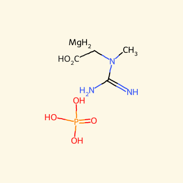 CN(CC(=O)O)C(=N)N.O=P(O)(O)O.[MgH2]